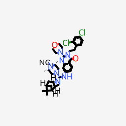 C[C@@H]1[C@@H](/N=C(/Nc2ccc3c(=O)n(CCc4ccc(Cl)cc4Cl)c(N4CCOCC4)nc3c2)N2C[C@@H](C)N(C#N)[C@@H](C)C2)C[C@@H]2C[C@H]1C2(C)C